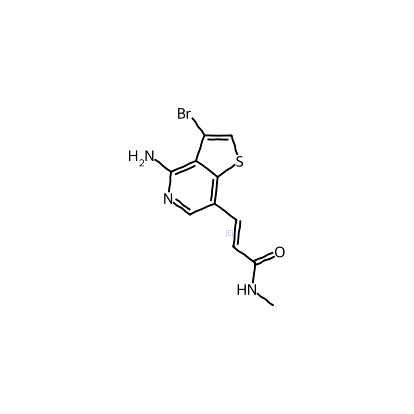 CNC(=O)/C=C/c1cnc(N)c2c(Br)csc12